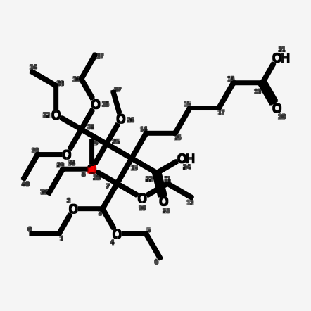 CCOC(OCC)C(OC)(OCC)C(CCCCCC(=O)O)(C(=O)O)C(OC)(OCC)C(OCC)(OCC)OCC